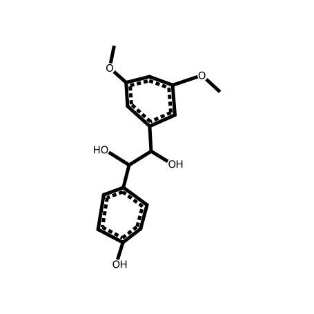 COc1cc(OC)cc(C(O)C(O)c2ccc(O)cc2)c1